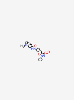 CN(C)c1ccc(C(=O)Nc2ccc(/C=C3\C(=O)N(c4ccccc4)N=C3OC=O)cc2)cc1